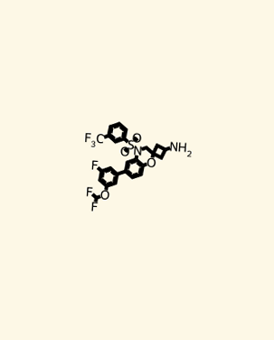 NC1CC2(C1)CN(S(=O)(=O)c1cccc(C(F)(F)F)c1)c1cc(-c3cc(F)cc(OC(F)F)c3)ccc1O2